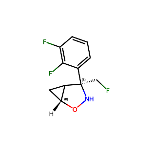 FC[C@]1(c2cccc(F)c2F)NO[C@@H]2CC21